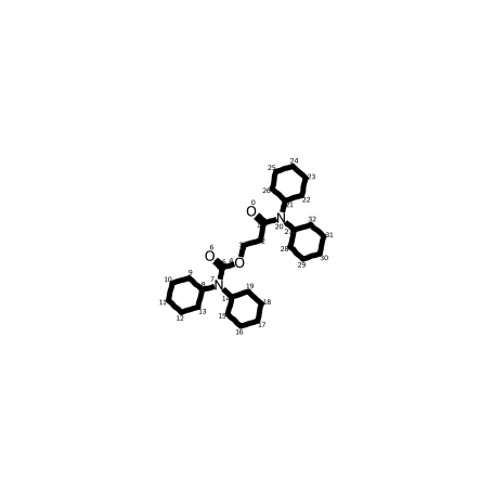 O=C(CCOC(=O)N(C1CCCCC1)C1CCCCC1)N(C1CCCCC1)C1CCCCC1